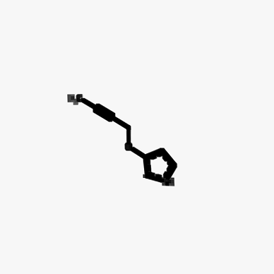 CC#CCOc1[c][nH]cc1